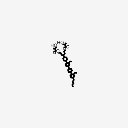 C=C(CO)C(=O)OCCCC(CCCOC(=O)C(=C)CO)C1CCC(c2ccc(-c3ccc(-c4ccc(CCCCC)cc4CC)cc3)cc2CC)CC1